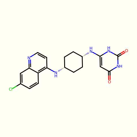 O=c1cc(N[C@H]2CC[C@@H](Nc3ccnc4cc(Cl)ccc34)CC2)[nH]c(=O)[nH]1